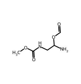 COC(=O)NCC(N)OC=O